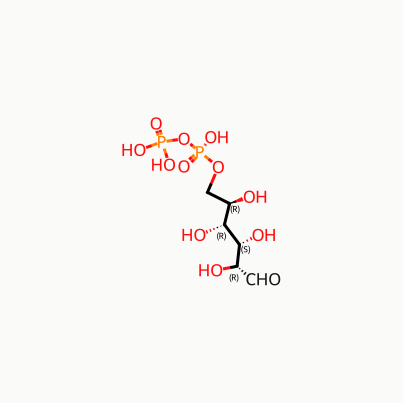 O=C[C@H](O)[C@@H](O)[C@H](O)[C@H](O)COP(=O)(O)OP(=O)(O)O